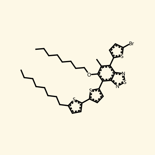 CCCCCCCCOc1c(C)c(-c2ccc(Br)s2)c2nsnc2c1-c1ccc(-c2ccc(CCCCCCCC)s2)s1